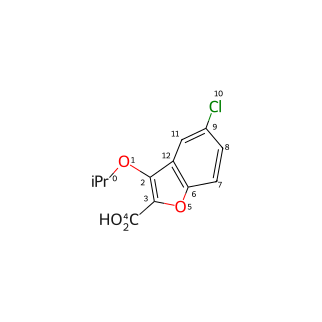 CC(C)Oc1c(C(=O)O)oc2ccc(Cl)cc12